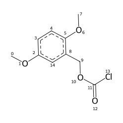 COc1ccc(OC)c(COC(=O)Cl)c1